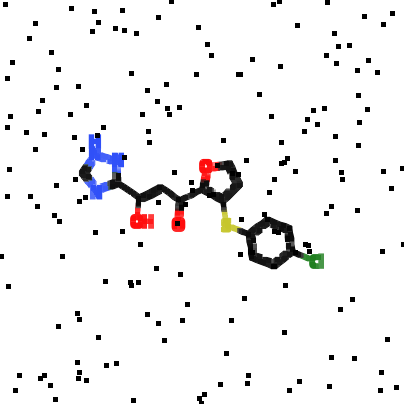 O=C(C=C(O)c1nc[nH]n1)c1occc1Sc1ccc(Cl)cc1